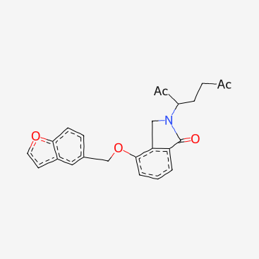 CC(=O)CCC(C(C)=O)N1Cc2c(OCc3ccc4occc4c3)cccc2C1=O